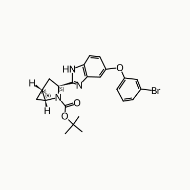 CC(C)(C)OC(=O)N1[C@@H]2C[C@@H]2C[C@H]1c1nc2cc(Oc3cccc(Br)c3)ccc2[nH]1